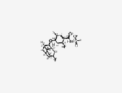 Cc1cc(C(=O)NS(C)(=O)=O)c(F)cc1OC1[C@@H]2CC3C[C@H]1CC(F)(C3)C2